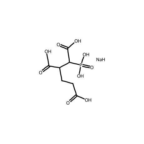 O=C(O)CCC(C(=O)O)C(C(=O)O)P(=O)(O)O.[NaH]